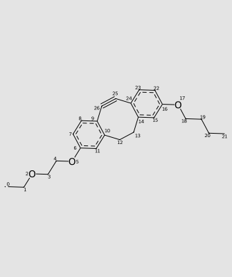 [CH2]COCCOc1ccc2c(c1)CCc1cc(OCCCC)ccc1C#C2